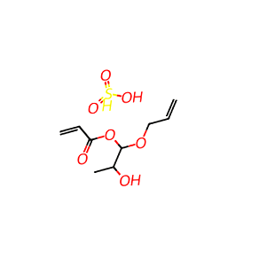 C=CCOC(OC(=O)C=C)C(C)O.O=[SH](=O)O